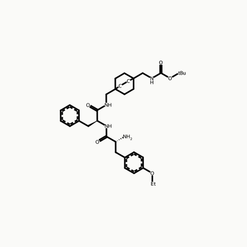 CCOc1ccc(C[C@@H](N)C(=O)N[C@@H](Cc2ccccc2)C(=O)NCC23CCC(CNC(=O)OC(C)(C)C)(CC2)CC3)cc1